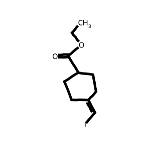 CCOC(=O)C1CCC(=CI)CC1